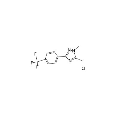 Cn1nc(-c2ccc(C(F)(F)F)cc2)nc1CCl